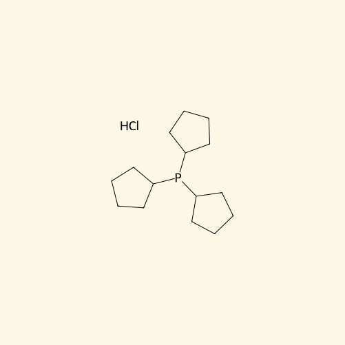 C1CCC(P(C2CCCC2)C2CCCC2)C1.Cl